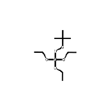 CCO[Si](OCC)(OCC)OOC(C)(C)C